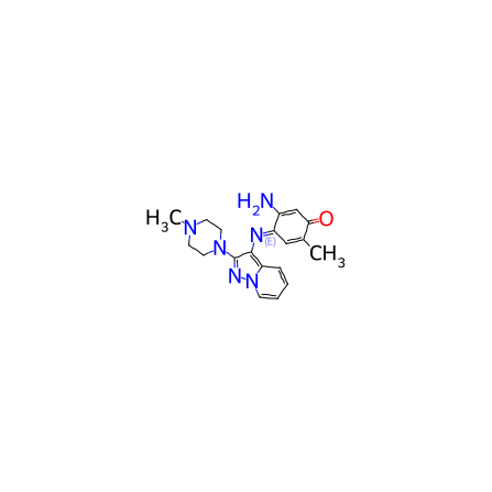 CC1=C/C(=N\c2c(N3CCN(C)CC3)nn3ccccc23)C(N)=CC1=O